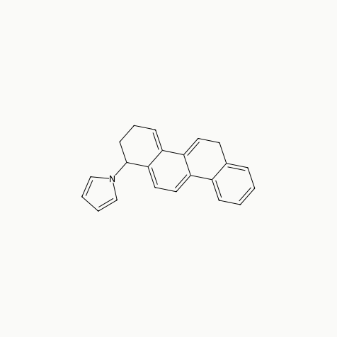 C1=c2c(ccc3c2=CCCC3n2cccc2)-c2ccccc2C1